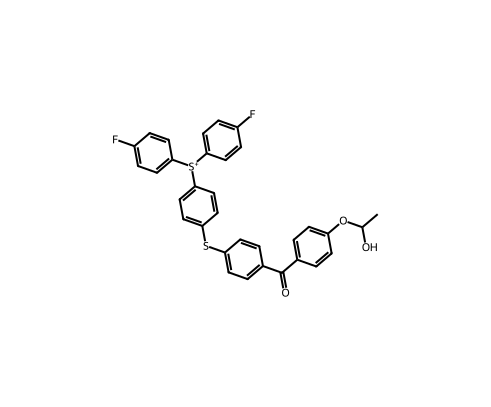 CC(O)Oc1ccc(C(=O)c2ccc(Sc3ccc([S+](c4ccc(F)cc4)c4ccc(F)cc4)cc3)cc2)cc1